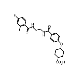 Cc1cc(F)ccc1C(=O)NCCNC(=O)c1ccc(O[C@H]2CC[C@@H](C(=O)O)CC2)cc1